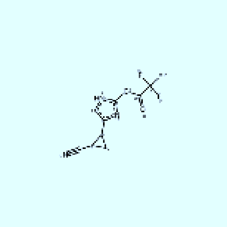 N#CC1CC1c1c[nH]c(OC(=O)C(F)(F)F)n1